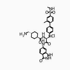 CNS(=O)(=O)c1ccc(-c2ccc(C[C@H](NC(=O)[C@H]3CC[C@H](CN)CC3)C(=O)Nc3ccc4c(=O)[nH][nH]c4c3)cc2)c(C)c1.Cl